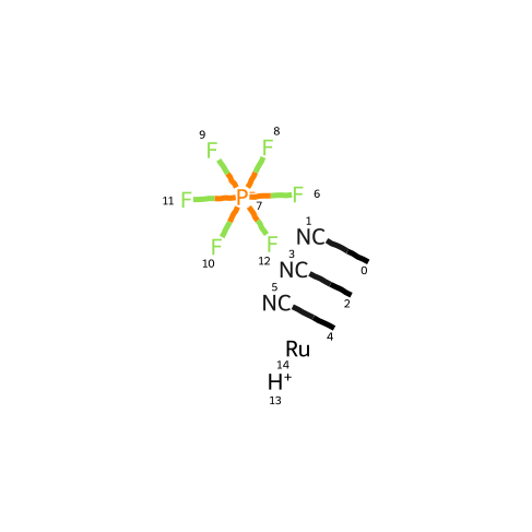 CC#N.CC#N.CC#N.F[P-](F)(F)(F)(F)F.[H+].[Ru]